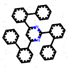 c1ccc(-c2ccccc2-c2cc(-c3ccccc3-c3ccccc3)nc(-c3ccccc3-c3ccccc3)n2)cc1